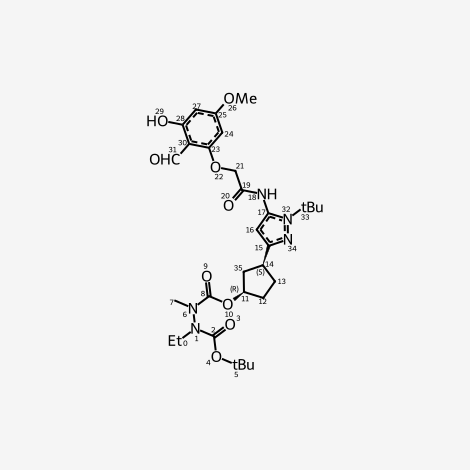 CCN(C(=O)OC(C)(C)C)N(C)C(=O)O[C@@H]1CC[C@H](c2cc(NC(=O)COc3cc(OC)cc(O)c3C=O)n(C(C)(C)C)n2)C1